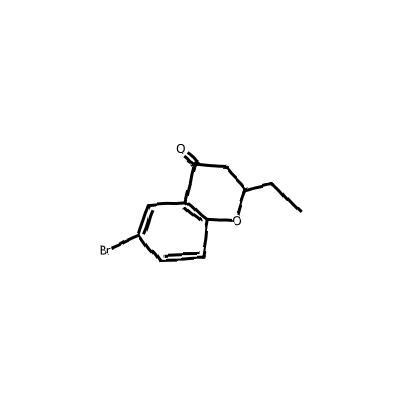 CCC1CC(=O)c2cc(Br)ccc2O1